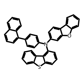 c1ccc2c(-c3ccc(N(c4ccc5c(c4)oc4ccccc45)c4cccc5sc6ccccc6c45)cc3)cccc2c1